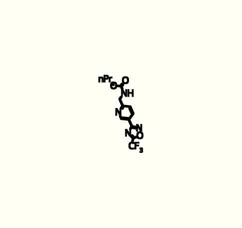 CCCOC(=O)NCc1ccc(-c2noc(C(F)(F)F)n2)cn1